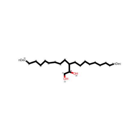 CCCCCCCCCCCCCCCCCC[C](CCCCCCCCCCCCCCCCCC)C(O)CO